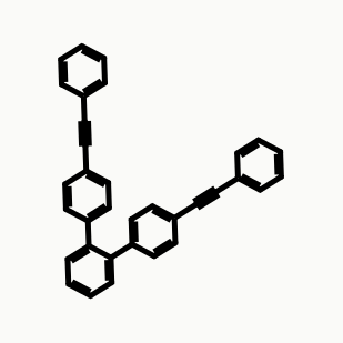 C(#Cc1ccc(-c2ccccc2-c2ccc(C#Cc3ccccc3)cc2)cc1)c1ccccc1